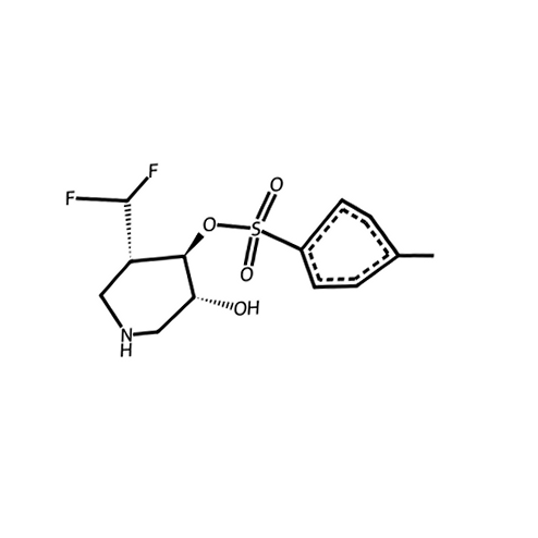 Cc1ccc(S(=O)(=O)O[C@H]2[C@H](O)CNC[C@@H]2C(F)F)cc1